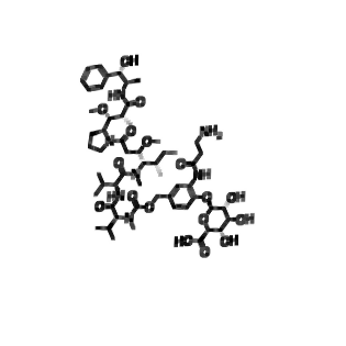 CC[C@H](C)[C@@H](C(CC(=O)N1CCC[C@H]1[C@H](OC)[C@@H](C)C(=O)N[C@H](C)[C@@H](O)c1ccccc1)OC)N(C)C(=O)[C@@H](NC(=O)[C@H](C(C)C)N(C)C(=O)OCc1ccc(O[C@@H]2O[C@H](C(=O)O)[C@@H](O)[C@H](O)[C@H]2O)c(NC(=O)CCN)c1)C(C)C